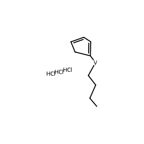 CCC[CH2][V][C]1=CC=CC1.Cl.Cl.Cl